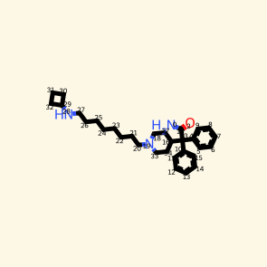 NC(=O)C(c1ccccc1)(c1ccccc1)C1CCN(CCCCCCCCNC2CCC2)CC1